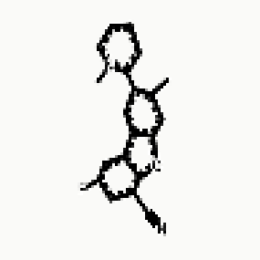 Cc1cc2oc3c(C#N)cc(F)cc3c2cc1-c1cccc[n+]1C